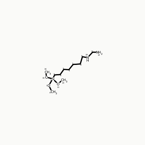 CO[Si](CCCCCCCNCN)(OC)OC